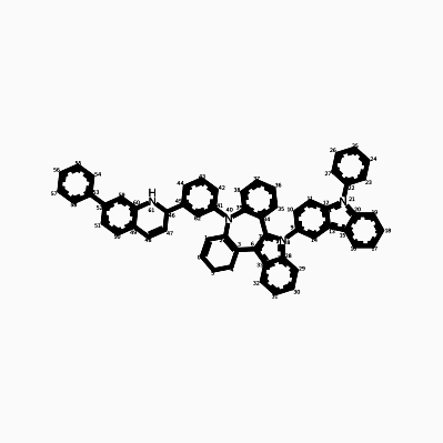 C1=CC2=C(CC1)c1c(n(-c3ccc4c(c3)c3ccccc3n4-c3ccccc3)c3ccccc13)-c1ccccc1N2c1cccc(C2C=Cc3ccc(-c4ccccc4)cc3N2)c1